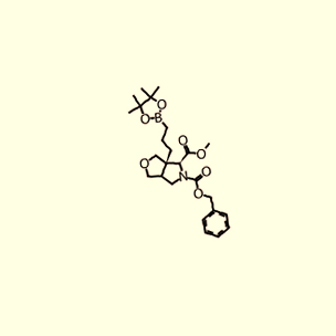 COC(=O)[C@H]1N(C(=O)OCc2ccccc2)CC2COC[C@@]21CCCB1OC(C)(C)C(C)(C)O1